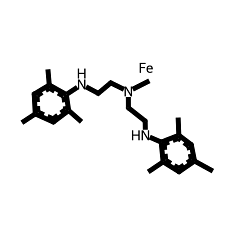 Cc1cc(C)c(NCCN(C)CCNc2c(C)cc(C)cc2C)c(C)c1.[Fe]